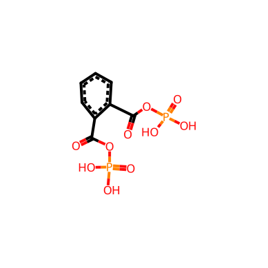 O=C(OP(=O)(O)O)c1ccccc1C(=O)OP(=O)(O)O